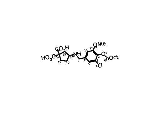 CCCCCCCCOc1c(Cl)cc(CNC2CCC(C(=O)O)(C(=O)O)C2)cc1OC